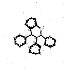 c1ccc(C2Oc3ccccc3C(c3ccccc3)C2c2ccccc2)cc1